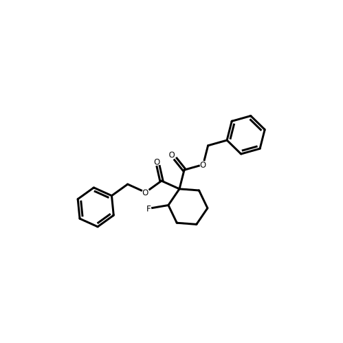 O=C(OCc1ccccc1)C1(C(=O)OCc2ccccc2)CCCCC1F